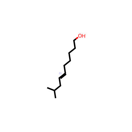 CC(C)C/C=C/CCCCCO